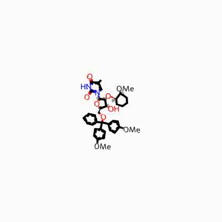 COc1ccc(C(OC[C@H]2O[C@@H](n3cc(C)c(=O)[nH]c3=O)[C@H](O[C@@H]3CCCC[C@H]3OC)[C@@H]2O)(c2ccccc2)c2ccc(OC)cc2)cc1